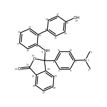 CN(C)c1ccc(C2(Nc3ccccc3-c3ccc(O)cc3)OC(=O)c3ccccc32)cc1